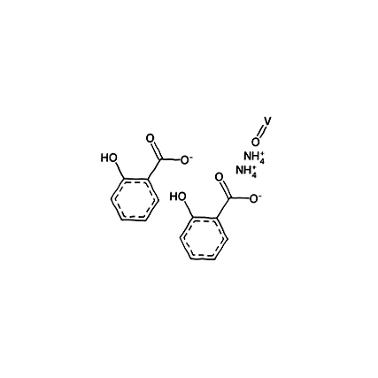 O=C([O-])c1ccccc1O.O=C([O-])c1ccccc1O.[NH4+].[NH4+].[O]=[V]